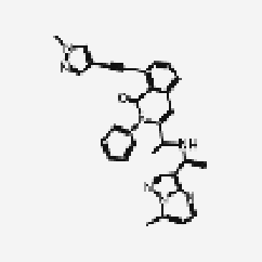 C=C(NC(C)c1cc2cccc(C#Cc3cnn(C)c3)c2c(=O)n1-c1ccccc1)c1cnn2c(C)ccnc12